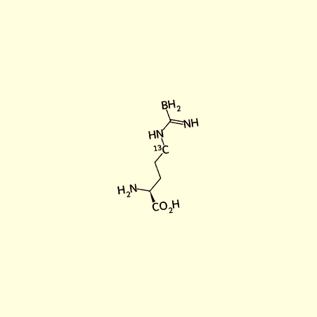 BC(=N)N[13CH2]CC[C@H](N)C(=O)O